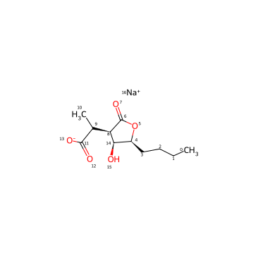 CCCC[C@@H]1OC(=O)[C@H](C(C)C(=O)[O-])[C@@H]1O.[Na+]